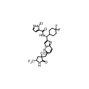 CCn1nccc1C(=O)N[C@H](c1cn2nc(CC3(C(=O)O)C[C@H](C(F)(F)F)NC3=O)ccc2n1)C1CCC(F)(F)CC1